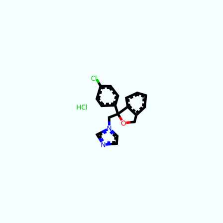 Cl.Clc1ccc(C2(Cn3ccnc3)OCc3ccccc32)cc1